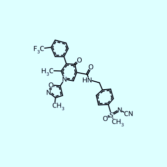 Cc1cc(-n2cc(C(=O)NCc3ccc(S(C)(=O)=NC#N)cc3)c(=O)c(-c3cccc(C(F)(F)F)c3)c2C)on1